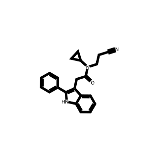 N#CCCN(C(=O)Cc1c(-c2ccccc2)[nH]c2ccccc12)C1CC1